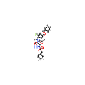 CCN(C(=O)CNC(=O)OCc1ccccc1)C1(c2cc(F)cc(OCc3ccccc3)c2)CO1